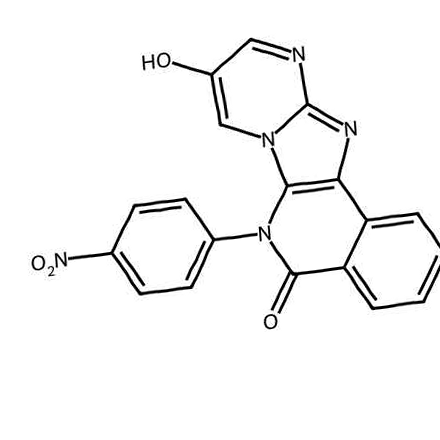 O=c1c2ccccc2c2nc3ncc(O)cn3c2n1-c1ccc([N+](=O)[O-])cc1